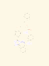 COc1ccc(-c2nnc3c4ccccc4c(Nc4cccc(NC(=O)COCc5ccccc5)c4)nn23)cc1